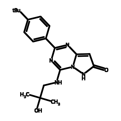 CC(C)(O)CNc1nc(-c2ccc(C(C)(C)C)cc2)nc2cc(=O)[nH]n12